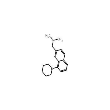 CN(C)Cc1ccc2cccc(N3CCCCC3)c2n1